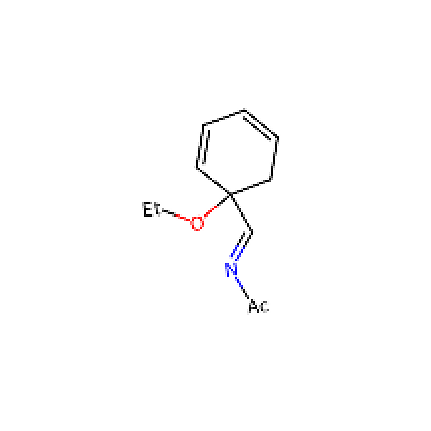 CCOC1(C=NC(C)=O)C=CC=CC1